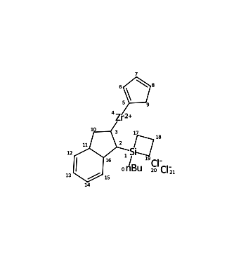 CCCC[Si]1(C2[CH]([Zr+2][C]3=CC=CC3)CC3C=CC=CC32)CCC1.[Cl-].[Cl-]